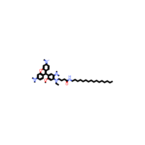 CCCCCCCCCCCCCCCCNC(=O)CCCN(CC)c1cc(OC)c(-c2c3ccc(=[N+](C)C)cc-3oc3cc(N(C)C)ccc23)cc1N(C)C